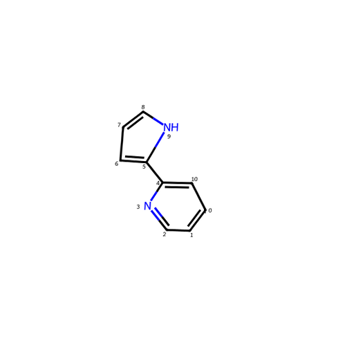 [c]1ccnc(-c2ccc[nH]2)c1